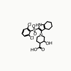 O=C(O)C1CCN(c2c(S(=O)(=O)c3c(Cl)cccc3Cl)[nH]c3c2CCCC3)CC1O